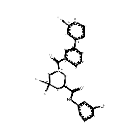 O=C(Nc1cccc(Cl)c1)C1CN(C(=O)c2cccc(-c3ccnc(F)c3)c2)CC(F)(F)C1